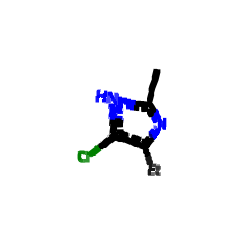 CCc1nc(C)[nH]c1Cl